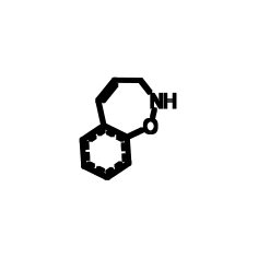 C1=Cc2ccccc2ONC1